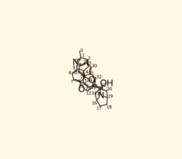 Cc1ccc2c3c(ccc2n1)OCC(CN1C2CCC1CC(O)(c1ccc4ccccc4c1)C2)O3